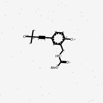 COC(=O)NCc1cc(C#CC(C)(C)Cl)ccc1Cl